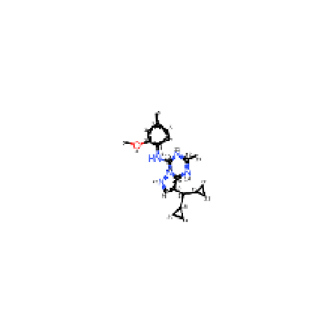 COc1cc(C)ccc1Nc1nc(C)nc2c(C(C3CC3)C3CC3)cnn12